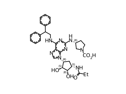 CCC(=O)N[C@H]1C[C@@H](n2cnc3c(NCC(c4ccccc4)c4ccccc4)nc(N[C@@H]4CCN(C(=O)O)C4)nc32)[C@H](O)[C@@H]1O